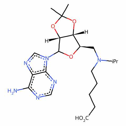 CC(C)N(CCCCC(=O)O)C[C@H]1OC(n2cnc3c(N)ncnc32)[C@@H]2OC(C)(C)O[C@H]12